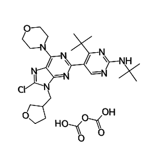 CC(C)(C)Nc1ncc(-c2nc(N3CCOCC3)c3nc(Cl)n(CC4CCOC4)c3n2)c(C(C)(C)C)n1.O=C(O)OC(=O)O